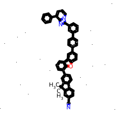 CC1(C)c2cc(C#N)ccc2-c2ccc(-c3cccc4c3oc3ccc(-c5ccc(-c6cccc(C7N=C8C(c9ccccc9)=CC=CN87)c6)cc5)cc34)cc21